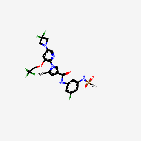 Cc1cc(C(=O)Nc2cc(Cl)cc(NS(C)(=O)=O)c2)cn1-c1ncc(N2CC(F)(F)C2)cc1OCC(F)(F)F